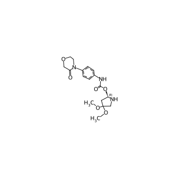 COC1(OC)CN[C@H](OC(=O)Nc2ccc(N3CCOCC3=O)cc2)C1